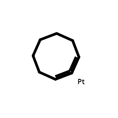 C1=CCCCCCC=1.[Pt]